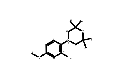 CNc1ccc(N2CC(C)(C)OC(C)(C)C2)c(F)c1